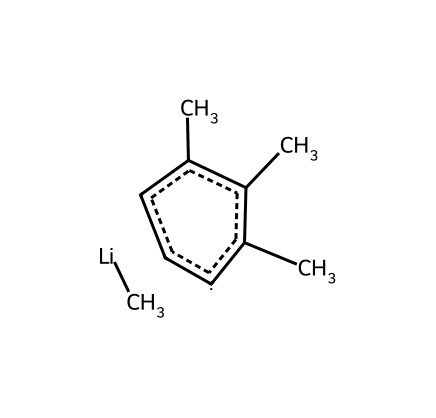 Cc1[c]ccc(C)c1C.[Li][CH3]